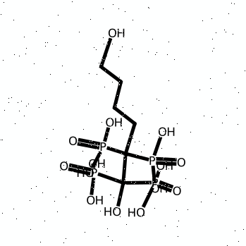 O=P(O)(O)C(O)(C(CCCCO)(P(=O)(O)O)P(=O)(O)O)P(=O)(O)O